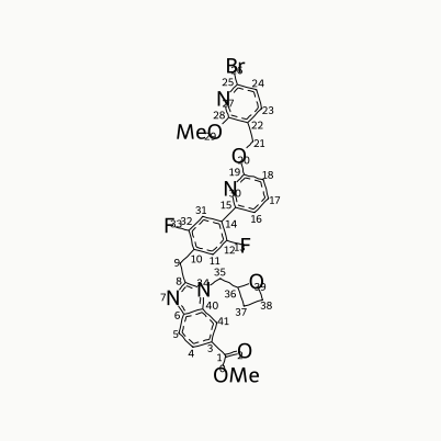 COC(=O)c1ccc2nc(Cc3cc(F)c(-c4cccc(OCc5ccc(Br)nc5OC)n4)cc3F)n(CC3CCO3)c2c1